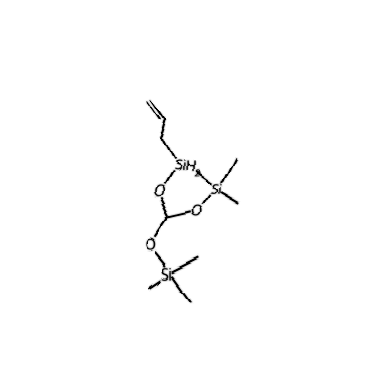 C=CC[SiH2]OC(O[Si](C)(C)C)O[Si](C)(C)C